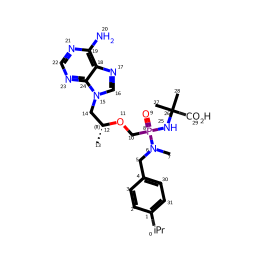 CC(C)c1ccc(CN(C)P(=O)(CO[C@H](C)Cn2cnc3c(N)ncnc32)NC(C)(C)C(=O)O)cc1